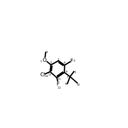 COc1cc(F)c(C(C)(C)C)c(F)c1Cl